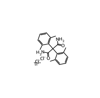 Cc1cccc(C)c1C(C(N)=O)(C(N)=O)c1c(C)cccc1C.[Cl-].[Cl-].[Ti+2]